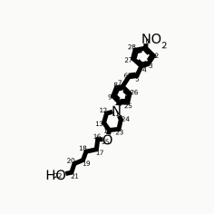 O=[N+]([O-])c1ccc(C=Cc2ccc(N3CCC(OCCCCCCO)CC3)cc2)cc1